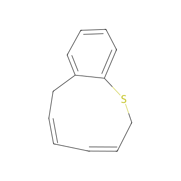 C1=C\CSc2ccccc2C\C=C/1